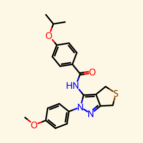 COc1ccc(-n2nc3c(c2NC(=O)c2ccc(OC(C)C)cc2)CSC3)cc1